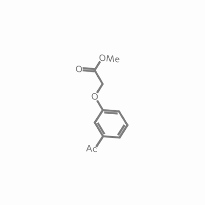 COC(=O)COc1cccc(C(C)=O)c1